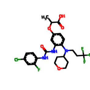 CC(Oc1ccc(N(CCC(F)(F)F)C2CCOCC2)c(NC(=O)Nc2ccc(Cl)cc2F)c1)C(=O)O